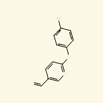 Nc1ccc(Oc2ccc(C=O)cn2)cc1